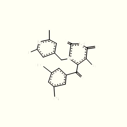 CCc1c(C(=O)c2cc(C)cc(C#N)c2)n(Cc2cc(F)nc(F)c2)c(=O)[nH]c1=O